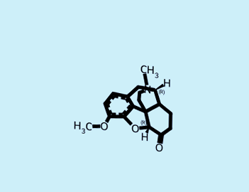 COc1ccc2c3c1O[C@H]1C(=O)CCC4[C@@H](C2)N(C)CCC341